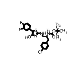 CC(C)(C)OC(=O)N[C@H](CNc1nc(O)c(-c2ccc(F)c(F)c2)s1)Cc1ccc(Cl)cc1